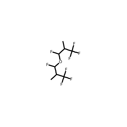 CC(C(F)OC(F)C(C)C(F)(F)F)C(F)(F)F